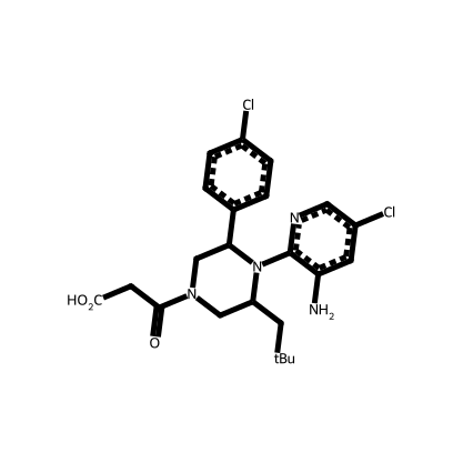 CC(C)(C)CC1CN(C(=O)CC(=O)O)CC(c2ccc(Cl)cc2)N1c1ncc(Cl)cc1N